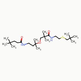 CC(C)(C)CCC(=O)NCCC(C)(C)OCC(C)(C)C(=O)NCCSCC(C)(C)C